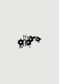 Cc1c(Br)cccc1Nc1nccc2cc(CN3CCCC3)cnc12